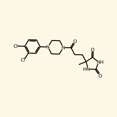 CC1(CCC(=O)N2CCN(c3ccc(Cl)c(Cl)c3)CC2)NC(=O)NC1=O